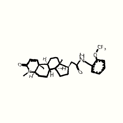 CN1C(=O)C=C[C@]2(C)[C@H]3CC[C@]4(C)[C@@H](CC(=O)Nc5ccccc5OC(F)(F)F)CC[C@H]4[C@@H]3CC[C@@H]12